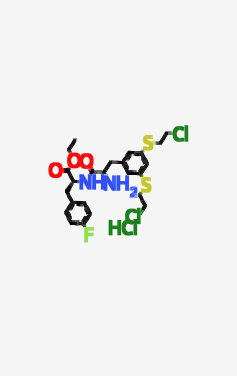 CCOC(=O)[C@H](Cc1ccc(F)cc1)NC(=O)[C@@H](N)Cc1cc(SCCCl)cc(SCCCl)c1.Cl